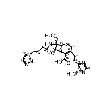 COC1(NC(=O)CSCn2cnnn2)C(=O)N2C(C(=O)O)=C(CSc3ncnn3C)CSC21